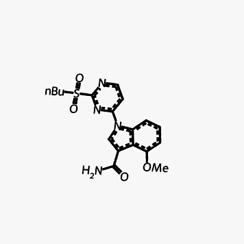 CCCCS(=O)(=O)c1nccc(-n2cc(C(N)=O)c3c(OC)cccc32)n1